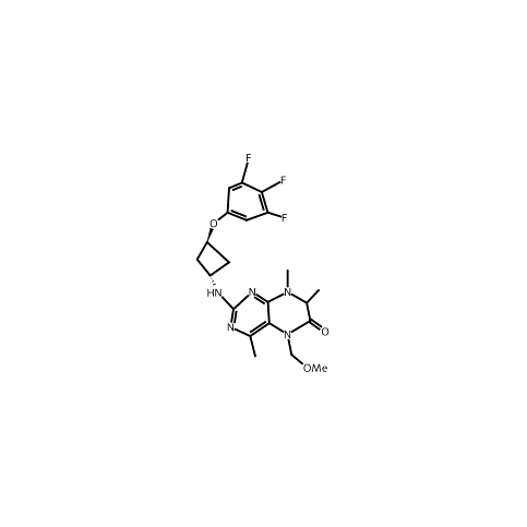 COCN1C(=O)C(C)N(C)c2nc(N[C@H]3C[C@H](Oc4cc(F)c(F)c(F)c4)C3)nc(C)c21